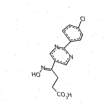 O=C(O)CC/C(=N\O)c1cnc(-c2ccc(Cl)cc2)nc1